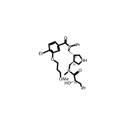 CCc1ccc(C(=O)N(C[C@@H]2CNC[C@H]2CN(C)C(=O)[C@@H](O)CC(C)C)C(C)C)cc1OCCCOC